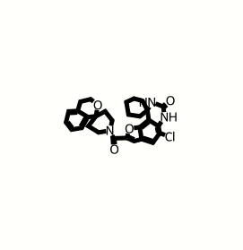 O=C1Nc2c(Cl)cc3cc(C(=O)N4CCC5(CC4)OCCc4ccccc45)oc3c2C2(CCCCC2)N1